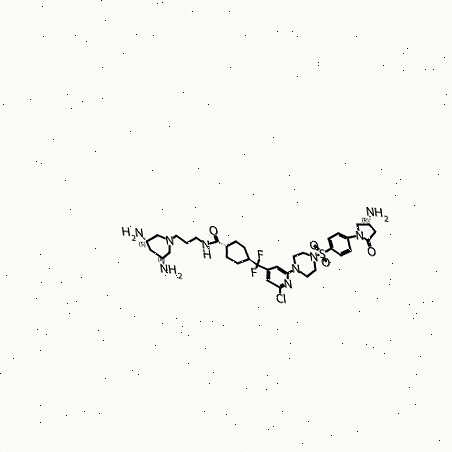 N[C@@H]1C[C@H](N)CN(CCCNC(=O)[C@H]2CC[C@H](C(F)(F)c3cc(Cl)nc(N4CCN(S(=O)(=O)c5ccc(N6C[C@H](N)CC6=O)cc5)CC4)c3)CC2)C1